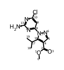 COC(=O)c1cnn(-c2cc(Cl)nc(N)n2)c1C(C)C